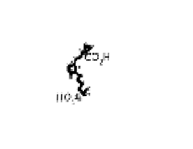 CC(C)(CCCCc1cccc(CCCC2(C(=O)O)CC2)c1)C(=O)O